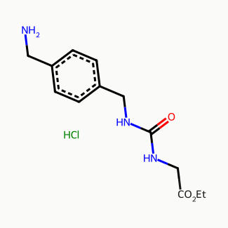 CCOC(=O)CNC(=O)NCc1ccc(CN)cc1.Cl